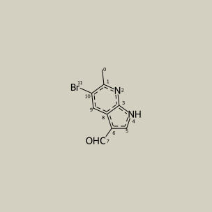 Cc1nc2[nH]cc(C=O)c2cc1Br